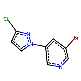 Clc1ccn(-c2cncc(Br)c2)n1